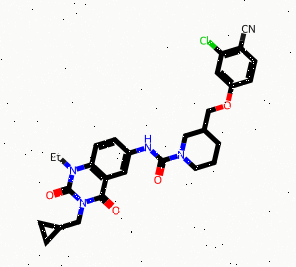 CCn1c(=O)n(CC2CC2)c(=O)c2cc(NC(=O)N3CCCC(COc4ccc(C#N)c(Cl)c4)C3)ccc21